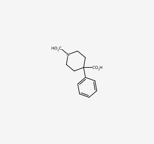 O=C(O)N1CCC(C(=O)O)(c2ccccc2)CC1